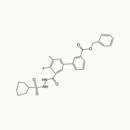 Cc1cc(-c2cccc(C(=O)OCc3ccccc3)c2)cc(C(=O)NNS(=O)(=O)C2CCCCC2)c1F